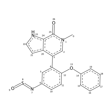 Cn1cc(-c2cc(N=S=O)ccc2Oc2ccccc2)c2cc[nH]c2c1=O